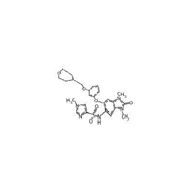 Cn1cnc(S(=O)(=O)Nc2cc3c(cc2Oc2cccc(OCC4CCOCC4)c2)n(C)c(=O)n3C)c1